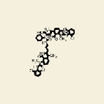 [CH]=CC(c1[nH]c(=O)c2c(ccc3nc(Nc4c(Cl)cccc4Cl)n(C)c32)c1C)N(C(=O)NC=CCc1[nH]c(=O)c2c(ccc3nc(Nc4c(Cl)cccc4Cl)n(C)c32)c1C)C1CCCCC1